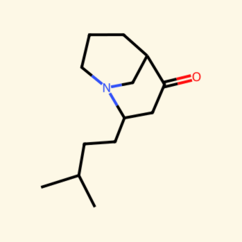 CC(C)CCC1CC(=O)C2CCCN1C2